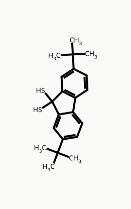 CC(C)(C)c1ccc2c(c1)C(S)(S)c1cc(C(C)(C)C)ccc1-2